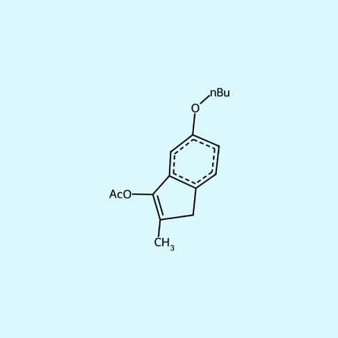 CCCCOc1ccc2c(c1)C(OC(C)=O)=C(C)C2